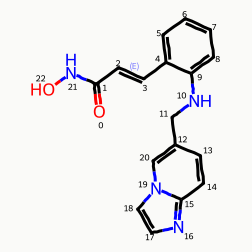 O=C(/C=C/c1ccccc1NCc1ccc2nccn2c1)NO